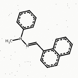 CN(N=Cc1cccc2ccccc12)c1ccccc1